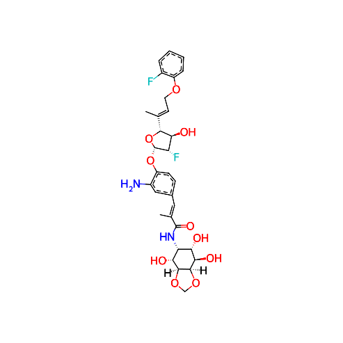 C/C(=C\c1ccc(O[C@@H]2O[C@H](/C(C)=C/COc3ccccc3F)[C@@H](O)[C@@H]2F)c(N)c1)C(=O)N[C@@H]1[C@H](O)[C@@H](O)[C@H]2OCO[C@H]2[C@@H]1O